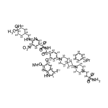 COc1nc2[nH]cc(F)c2cc1Oc1cc(N2CCC3(CC2)CC(N2CCN(CCS(N)(=O)=O)C[C@H]2c2ccccc2C(C)C)C3)ccc1C(=O)NS(=O)(=O)c1cnc(NCC2CCC(C)(O)CC2)c([N+](=O)[O-])c1